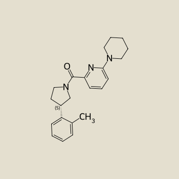 Cc1ccccc1[C@@H]1CCN(C(=O)c2cccc(N3CCCCC3)n2)C1